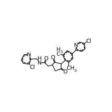 Cc1cc(-c2ccc(Cl)cn2)cc(C)c1C1C(=O)CC(CC(=O)NCc2ncccc2Cl)C1=O